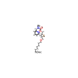 CCCCCCCCCCCCCCCCOCC1CC(COC(=O)N(Cc2ccccn2)C(C)=O)S1